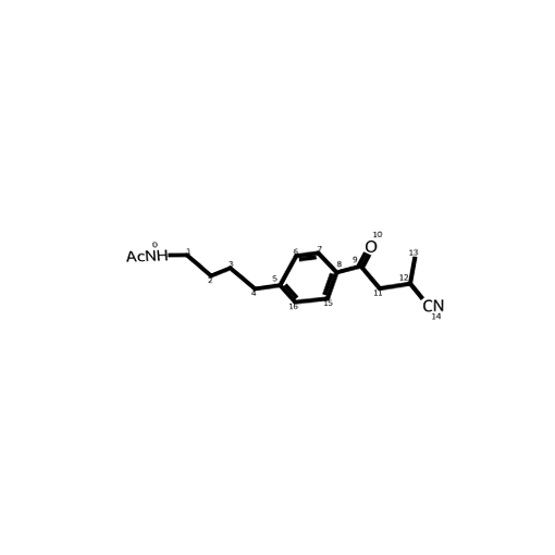 CC(=O)NCCCCc1ccc(C(=O)CC(C)C#N)cc1